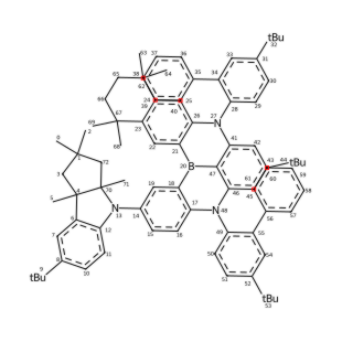 CC1(C)CC2(C)c3cc(C(C)(C)C)ccc3N(c3ccc4c(c3)B3c5cc6c(cc5N(c5ccc(C(C)(C)C)cc5-c5ccccc5)c5cc(C(C)(C)C)cc(c53)N4c3ccc(C(C)(C)C)cc3-c3ccccc3)C(C)(C)CCC6(C)C)C2(C)C1